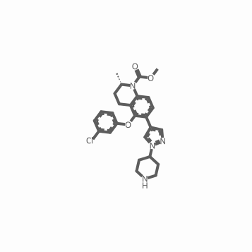 COC(=O)N1c2ccc(-c3cnn(C4CCNCC4)c3)c(Oc3cccc(Cl)c3)c2CC[C@@H]1C